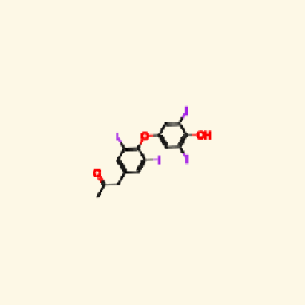 CC(=O)Cc1cc(I)c(Oc2cc(I)c(O)c(I)c2)c(I)c1